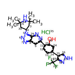 CC1(C)CC(n2nnc3cc(-c4ccc(-c5c[nH]nc5C(F)(F)F)cc4O)nnc32)CC(C)(C)N1.Cl